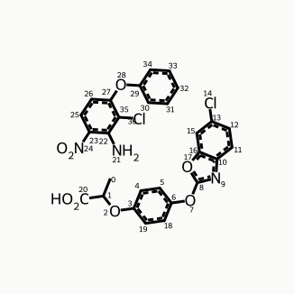 CC(Oc1ccc(Oc2nc3ccc(Cl)cc3o2)cc1)C(=O)O.Nc1c([N+](=O)[O-])ccc(Oc2ccccc2)c1Cl